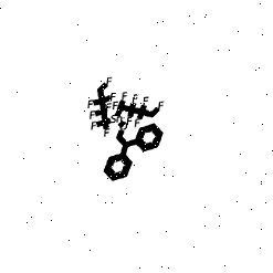 FCC(F)(F)C(F)(F)[C](F)(F)[Sn]([O]CC(c1ccccc1)c1ccccc1)[C](F)(F)C(F)(F)C(F)(F)CF